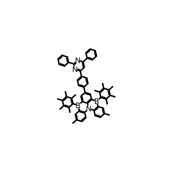 Cc1ccc2c(c1)B(c1c(C)c(C)c(C)c(C)c1C)c1cc(-c3ccc(-c4cc(-c5ccccc5)nc(-c5ccccc5)n4)cc3)cc3c1N2c1ccc(C)cc1B3c1c(C)c(C)c(C)c(C)c1C